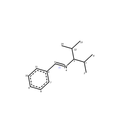 CC(C)C(/N=C/c1ccccc1)C(C)C